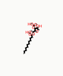 CCCCCCCCCCCC(=O)O[C@H](CO)[C@H]1OC[C@H](O)[C@H]1OC(=O)O